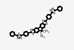 CC1(C)c2cc3sc(-c4ccc(-c5nnc(-c6ccccc6)s5)cc4)nc3cc2-c2cc3nc(-c4ccc(-c5nnc(-c6ccccc6)s5)cc4)sc3cc21